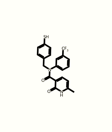 Cc1ccc(C(=O)N(Cc2ccc(S)cc2)c2cccc(C(F)(F)F)c2)c(=O)[nH]1